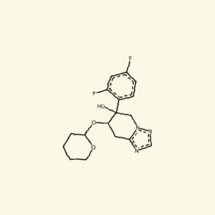 OC1(c2ccc(F)cc2F)Cn2ncnc2CC1OC1CCCCO1